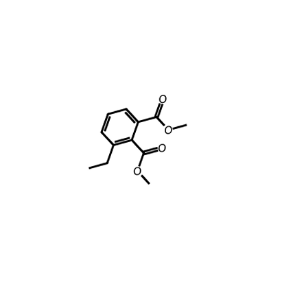 CCc1cccc(C(=O)OC)c1C(=O)OC